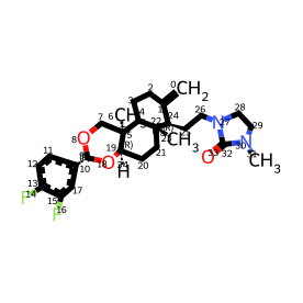 C=C1CCC2[C@]3(C)CO[C@@H](c4ccc(F)c(F)c4)O[C@@H]3CC[C@@]2(C)[C@@H]1CCN1CCN(C)C1=O